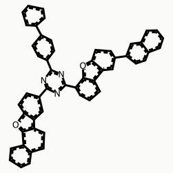 c1ccc(-c2ccc(-c3nc(-c4ccc5oc6c7ccccc7ccc6c5c4)nc(-c4cccc5c4oc4ccc(-c6ccc7ccccc7c6)cc45)n3)cc2)cc1